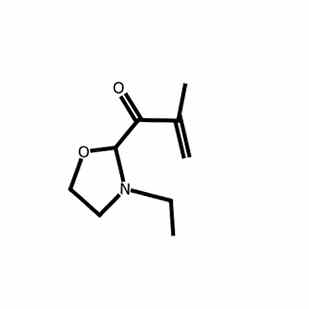 C=C(C)C(=O)C1OCCN1CC